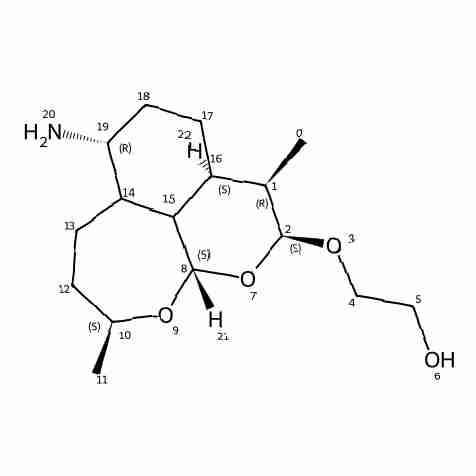 C[C@H]1[C@@H](OCCO)O[C@@H]2O[C@@H](C)CCC3C2[C@H]1CC[C@H]3N